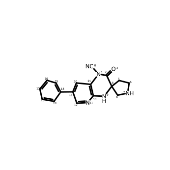 N#CN1C(=O)C2(CCNC2)Nc2ncc(-c3ccccc3)cc21